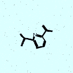 C=C(C)c1cccc(C(C)C)n1